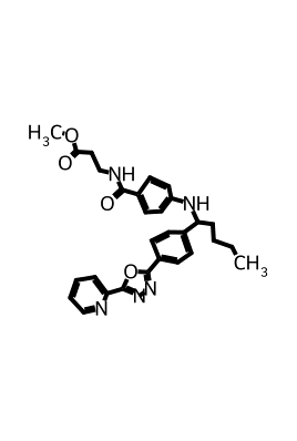 CCCCC(Nc1ccc(C(=O)NCCC(=O)OC)cc1)c1ccc(-c2nnc(-c3ccccn3)o2)cc1